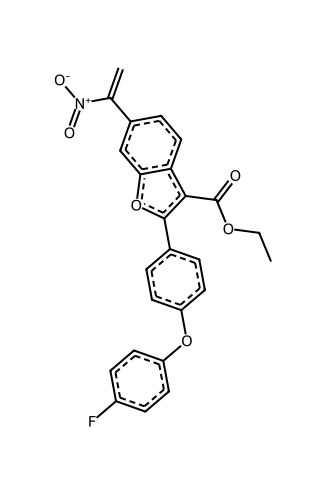 C=C(c1ccc2c(C(=O)OCC)c(-c3ccc(Oc4ccc(F)cc4)cc3)oc2c1)[N+](=O)[O-]